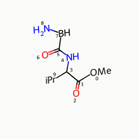 COC(=O)C(NC(=O)BN)C(C)C